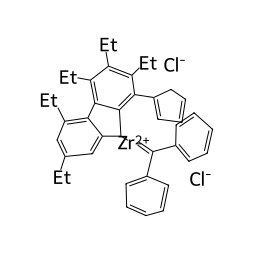 CCc1cc(CC)c2c(c1)[CH]([Zr+2]=[C](c1ccccc1)c1ccccc1)c1c(C3=CC=CC3)c(CC)c(CC)c(CC)c1-2.[Cl-].[Cl-]